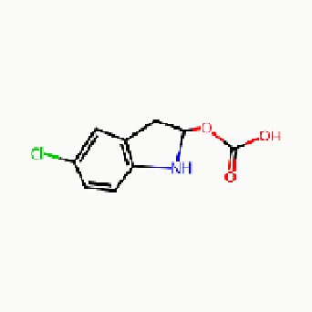 O=C(O)OC1Cc2cc(Cl)ccc2N1